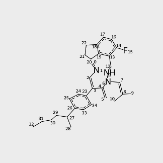 C=N/C=C(\C(=C)N(C=C(C)C)NCc1c(F)ccc2c1CCC2)c1ccc(C(C)CCCC)cc1